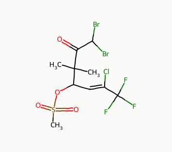 CC(C)(C(=O)C(Br)Br)C(/C=C(\Cl)C(F)(F)F)OS(C)(=O)=O